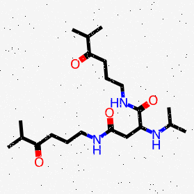 CC(C)NC(CC(=O)NCCCC(=O)C(C)C)C(=O)NCCCC(=O)C(C)C